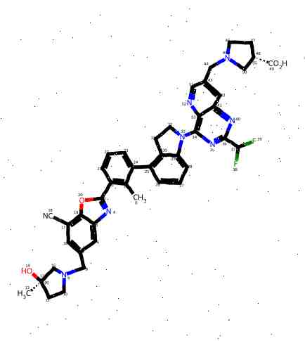 Cc1c(-c2nc3cc(CN4CC[C@@](C)(O)C4)cc(C#N)c3o2)cccc1-c1cccc2c1CCN2c1nc(C(F)F)nc2cc(CN3CC[C@H](C(=O)O)C3)cnc12